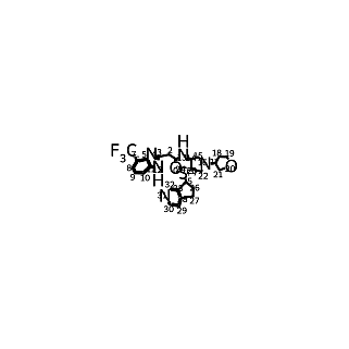 O=C(Cc1nc2c(C(F)(F)F)cccc2[nH]1)NC1CN(C2CCOC2)C[C@@H]1SC1CCc2ccncc21